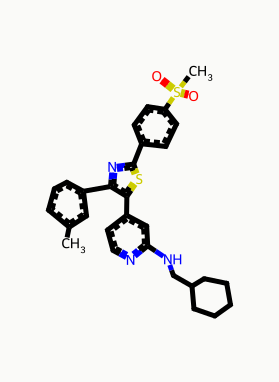 Cc1cccc(-c2nc(-c3ccc(S(C)(=O)=O)cc3)sc2-c2ccnc(NCC3CCCCC3)c2)c1